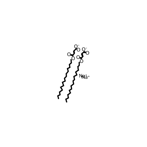 CCCCCCCCCCCCCCCCCCOC(=O)C=CC(=O)[O-].CCCCCCCCCCCCCCCCCCOC(=O)C=CC(=O)[O-].[Na+].[Na+]